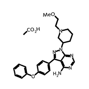 CC(=O)O.COCCN1CCCC(n2nc(-c3ccc(Oc4ccccc4)cc3)c3c(N)ncnc32)C1